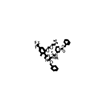 Cc1cc(C(F)(F)F)cc(OCOCC[Si](C)(C)C)c1-c1cnc(OCc2ccccc2)c(NC(=S)NC2CCCN(C(=O)OCc3ccccc3)C2)n1